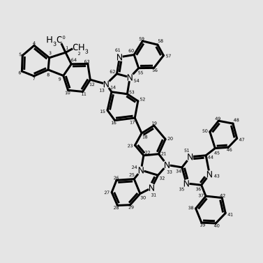 CC1(C)c2ccccc2-c2ccc(-n3c4ccc(-c5ccc6c(c5)n5c7ccccc7nc5n6-c5nc(-c6ccccc6)nc(-c6ccccc6)n5)cc4n4c5ccccc5nc34)cc21